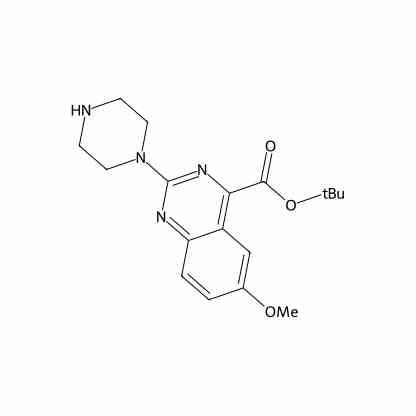 COc1ccc2nc(N3CCNCC3)nc(C(=O)OC(C)(C)C)c2c1